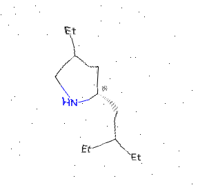 CCC(CC)C[C@H]1CC(CC)CN1